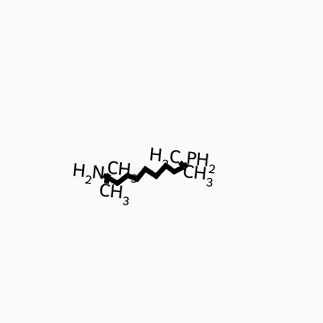 CC(C)(N)CCCCCCCC(C)(C)P